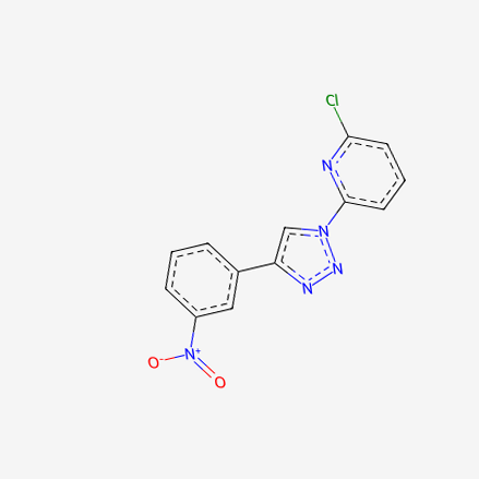 O=[N+]([O-])c1cccc(-c2cn(-c3cccc(Cl)n3)nn2)c1